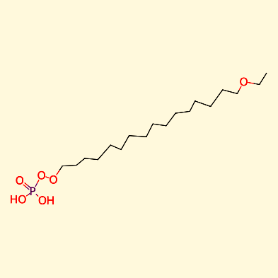 CCOCCCCCCCCCCCCCCCCOOP(=O)(O)O